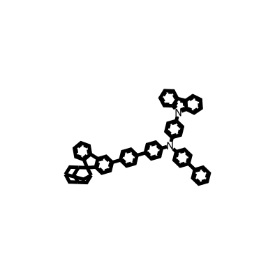 c1ccc(-c2ccc(N(c3ccc(-c4ccc(-c5ccc6c(c5)-c5ccccc5C65C6CC7CC(C6)CC5C7)cc4)cc3)c3ccc(-n4c5ccccc5c5ccccc54)cc3)cc2)cc1